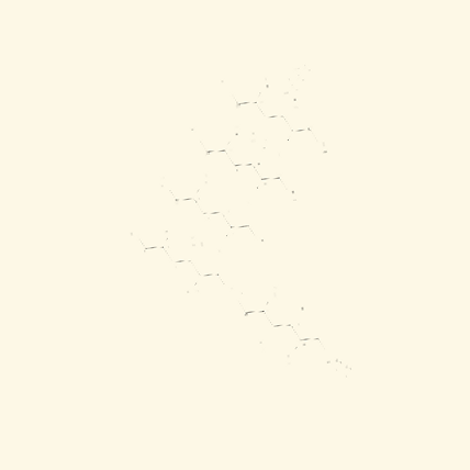 OC[C@@H](O)[C@@H](O)[C@H](O)[C@H](O)CO.OC[C@@H](O)[C@@H](O)[C@H](O)[C@H](O)CO.OC[C@@H](O)[C@@H](O)[C@H](O)[C@H](O)CO.OC[C@@H](O)[C@@H](O)[C@H](O)[C@H](O)CO.OC[C@@H](O)[C@@H](O)[C@H](O)[C@H](O)CO.[Ar].[Ar].[Ar].[Ar].[Ar]